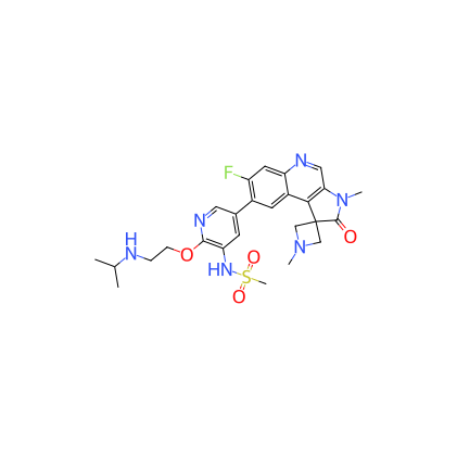 CC(C)NCCOc1ncc(-c2cc3c4c(cnc3cc2F)N(C)C(=O)C42CN(C)C2)cc1NS(C)(=O)=O